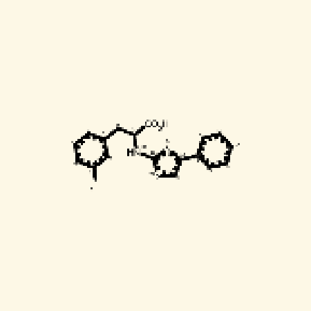 O=C(O)C(Cc1cccc(I)c1)Nc1nc(-c2ccccc2)cs1